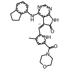 Cc1cc(C(=O)N2CCOCC2)[nH]c1/C=C1\C(=O)Nc2ncnc(Nc3cccc4c3CCC4)c21